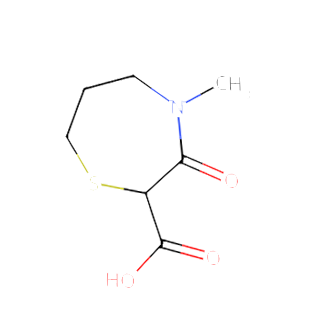 CN1CCCSC(C(=O)O)C1=O